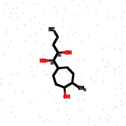 CC1CCC([C@@H](O)[C@H](O)CCC#N)CCC1O